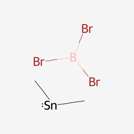 BrB(Br)Br.[CH3][Sn][CH3]